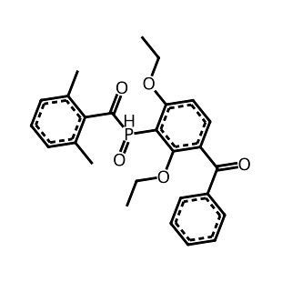 CCOc1ccc(C(=O)c2ccccc2)c(OCC)c1[PH](=O)C(=O)c1c(C)cccc1C